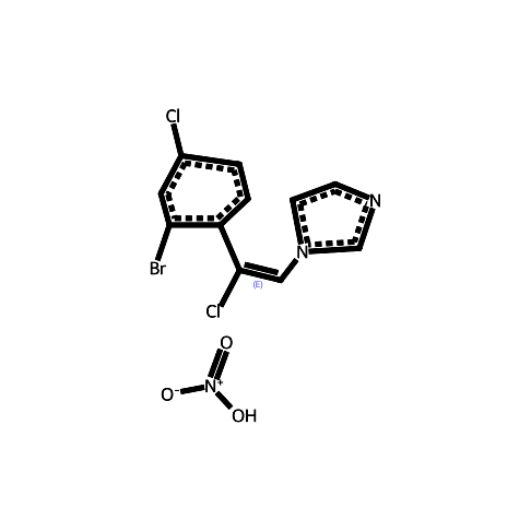 Cl/C(=C/n1ccnc1)c1ccc(Cl)cc1Br.O=[N+]([O-])O